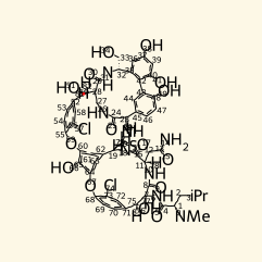 CN[C@H](CC(C)C)C(=O)N[C@H]1C(=O)N[C@@H](CC(N)=O)C(=O)N[C@H]2C(=S)N[C@H]3C(=O)NC[C@H](C(=O)N[C@H](CO)c4cc(O)cc(O)c4-c4cc3ccc4O)[C@H](O)c3ccc(c(Cl)c3)Oc3cc2cc(c3O)Oc2ccc(cc2Cl)[C@H]1O